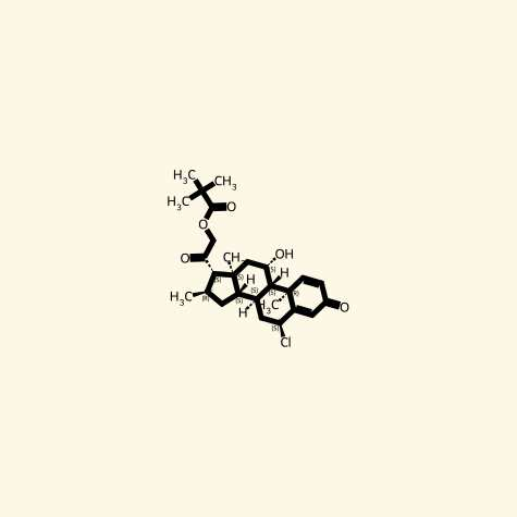 C[C@@H]1C[C@H]2[C@@H]3C[C@H](Cl)C4=CC(=O)C=C[C@]4(C)[C@H]3[C@@H](O)C[C@]2(C)[C@H]1C(=O)COC(=O)C(C)(C)C